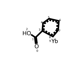 O=C(O)c1ccccc1.[Yb]